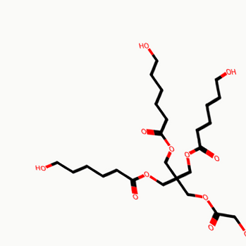 O=C(CO)OCC(COC(=O)CCCCCO)(COC(=O)CCCCCO)COC(=O)CCCCCO